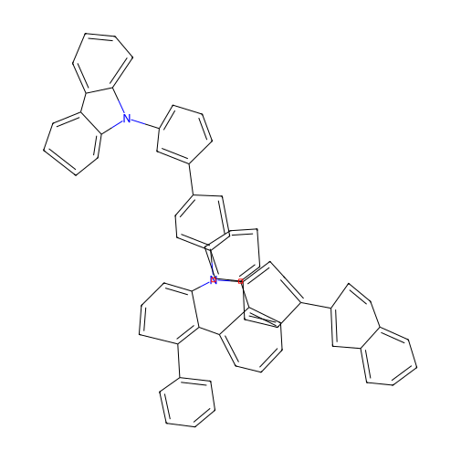 c1ccc(-c2ccccc2-c2c(-c3ccccc3)cccc2N(c2ccc(-c3cccc(-n4c5ccccc5c5ccccc54)c3)cc2)c2ccc(-c3ccc4ccccc4c3)cc2)cc1